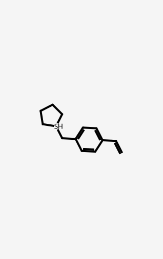 C=Cc1ccc(C[SH]2CCCC2)cc1